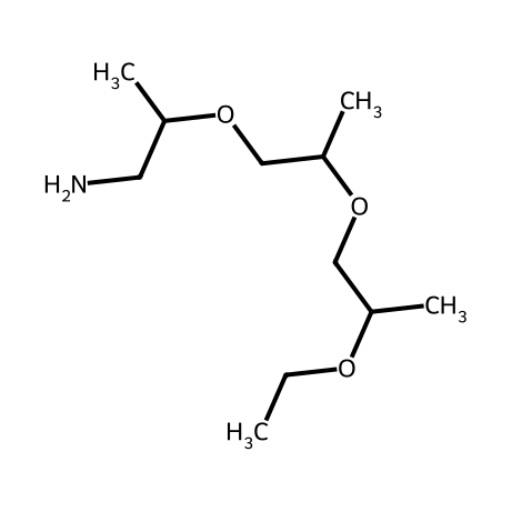 CCOC(C)COC(C)COC(C)CN